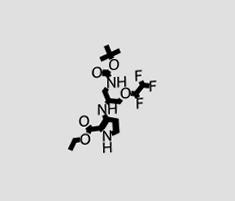 CCOC(=O)c1[nH]ccc1NC(CNC(=O)OC(C)(C)C)COC(F)C(F)F